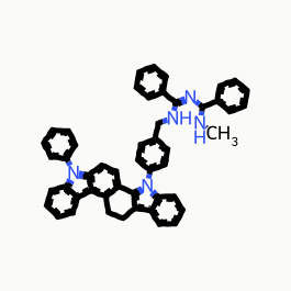 CNC(/N=C(\NCc1ccc(-n2c3c(c4ccccc42)CCc2c-3ccc3c2c2ccccc2n3-c2ccccc2)cc1)c1ccccc1)c1ccccc1